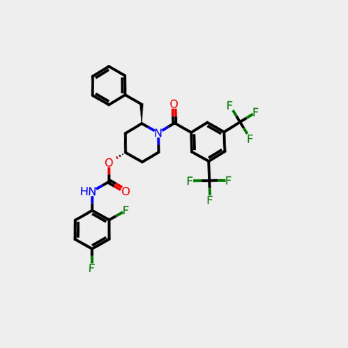 O=C(Nc1ccc(F)cc1F)O[C@H]1CCN(C(=O)c2cc(C(F)(F)F)cc(C(F)(F)F)c2)[C@H](Cc2ccccc2)C1